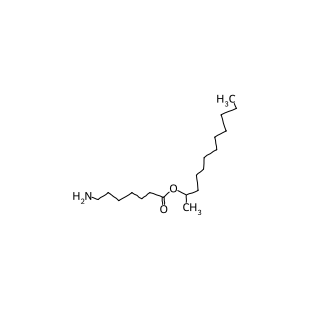 CCCCCCCCCCC(C)OC(=O)CCCCCCN